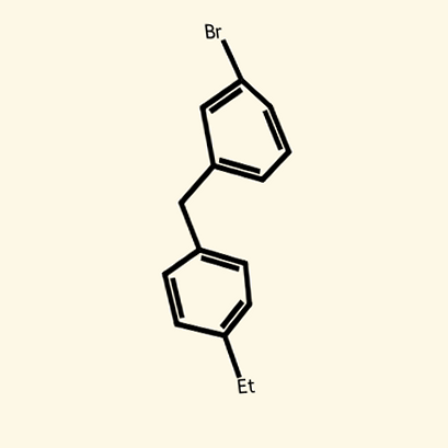 CCc1ccc(Cc2cccc(Br)c2)cc1